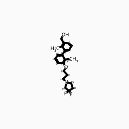 Cc1c(CO)cccc1-c1cccc(OCCCN2CCC(F)(F)C2)c1C